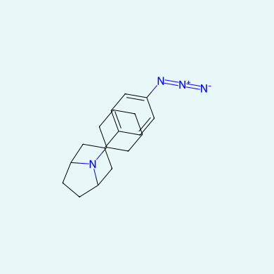 [N-]=[N+]=Nc1ccc(C2CC3CCC(C2)N3C2CCCCC2)cc1